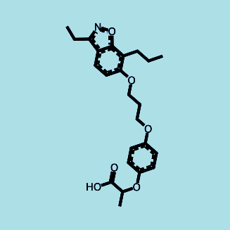 CCCc1c(OCCCOc2ccc(OC(C)C(=O)O)cc2)ccc2c(CC)noc12